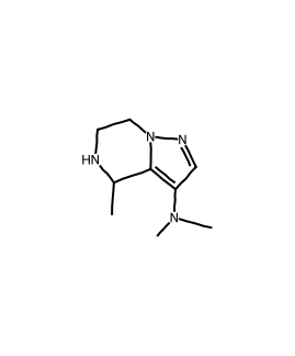 CC1NCCn2ncc(N(C)C)c21